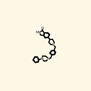 O=C1NCc2cc(C3CCN(Cc4ccc(CN5CCN(c6ccccc6)CC5)cc4)CC3)ccc21